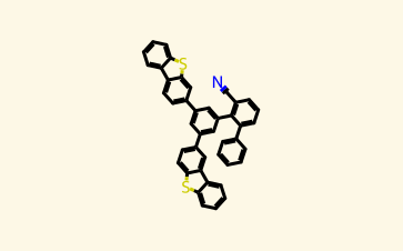 N#Cc1cccc(-c2ccccc2)c1-c1cc(-c2ccc3c(c2)sc2ccccc23)cc(-c2ccc3sc4ccccc4c3c2)c1